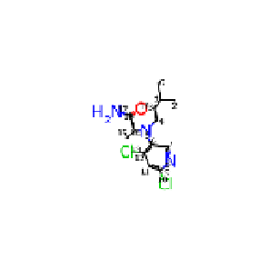 CC(C)CCN(c1cnc(Cl)cc1Cl)[C@@H](C)C(N)=O